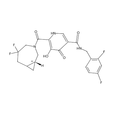 O=C(NCc1ccc(F)cc1F)c1c[nH]c(C(=O)N2C[C@@H]3CC3CC(F)(F)C2)c(O)c1=O